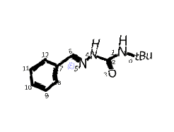 CC(C)(C)NC(=O)N/N=C/c1ccccc1